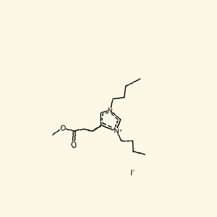 CCCCn1cc(CCC(=O)OC)[n+](CCCC)c1.[I-]